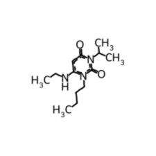 CCCCn1c(NCC)cc(=O)n(C(C)C)c1=O